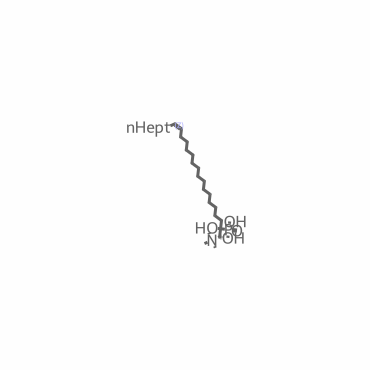 CCCCCCC/C=C\CCCCCCCCCCCCCCC(O)(C[N+](C)(C)C)P(=O)(O)O